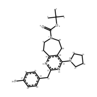 CC(C)(C)OC(=O)N1CCc2nc(Cc3ccc(F)cc3)nc(N3CCCC3)c2CC1